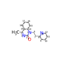 Cc1nc(=O)n(CCc2ccccn2)c2ccccc12